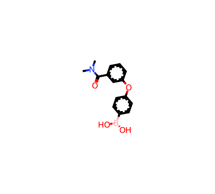 CN(C)C(=O)c1cccc(Oc2ccc(B(O)O)cc2)c1